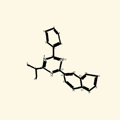 CC(C)c1nc(-c2ccccc2)nc(-c2ccc3ccccc3c2)n1